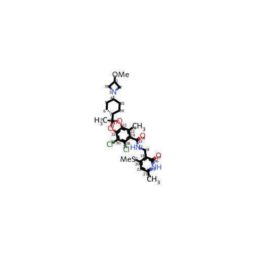 COC1CN([C@H]2CC[C@@H]([C@]3(C)Oc4c(C)c(C(=O)NCc5c(SC)cc(C)[nH]c5=O)c(Cl)c(Cl)c4O3)CC2)C1